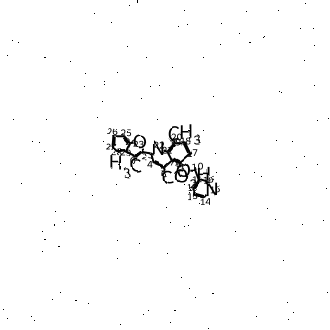 Cc1c(-c2cc(C(=O)O)c3c(OCc4cccnc4)ccc(C)c3n2)oc2ccccc12